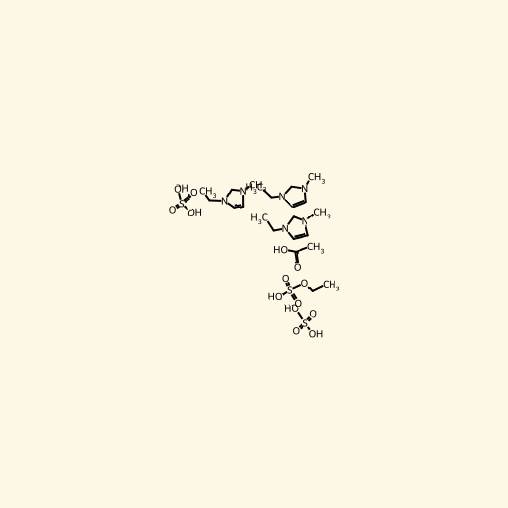 CC(=O)O.CCN1C=CN(C)C1.CCN1C=CN(C)C1.CCN1C=CN(C)C1.CCOS(=O)(=O)O.O=S(=O)(O)O.O=S(=O)(O)O